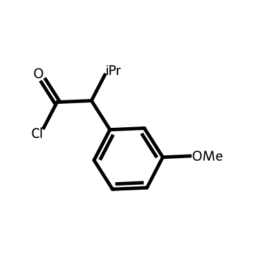 COc1cccc(C(C(=O)Cl)C(C)C)c1